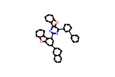 c1ccc(-c2cccc(-c3nc(-c4cc(-c5ccc6ccccc6c5)cc5oc6ccccc6c45)nc4c3oc3ccccc34)c2)cc1